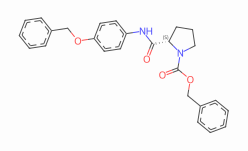 O=C(Nc1ccc(OCc2ccccc2)cc1)[C@@H]1CCCN1C(=O)OCc1ccccc1